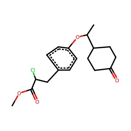 COC(=O)C(Cl)Cc1ccc(OC(C)C2CCC(=O)CC2)cc1